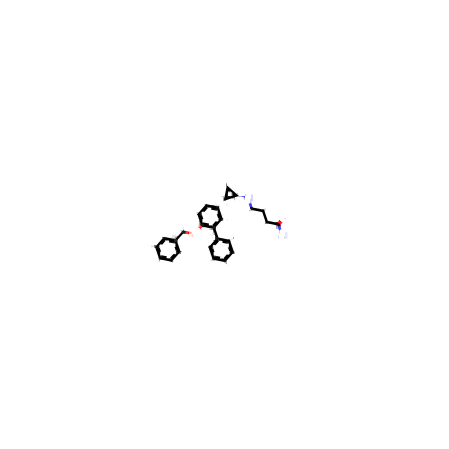 NC(=O)CCCN[C@@H]1C[C@H]1c1ccc(OCc2ccccc2)c(-c2ccccc2)c1